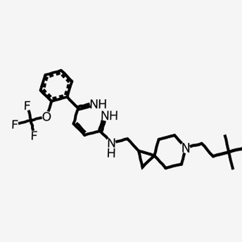 CC(C)(C)CCN1CCC2(CC1)CC2CNC(=N)/C=C\C(=N)c1ccccc1OC(F)(F)F